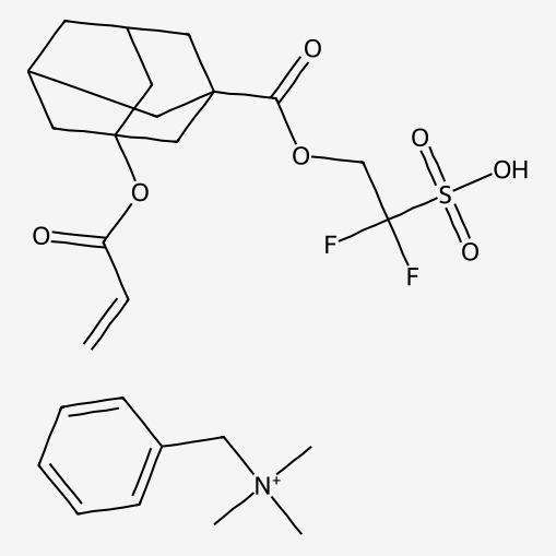 C=CC(=O)OC12CC3CC(C1)CC(C(=O)OCC(F)(F)S(=O)(=O)O)(C3)C2.C[N+](C)(C)Cc1ccccc1